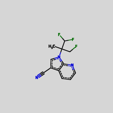 CC(CF)(C(F)F)n1cc(C#N)c2cccnc21